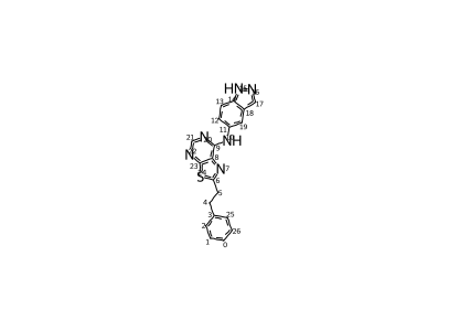 c1ccc(CCc2nc3c(Nc4ccc5[nH]ncc5c4)ncnc3s2)cc1